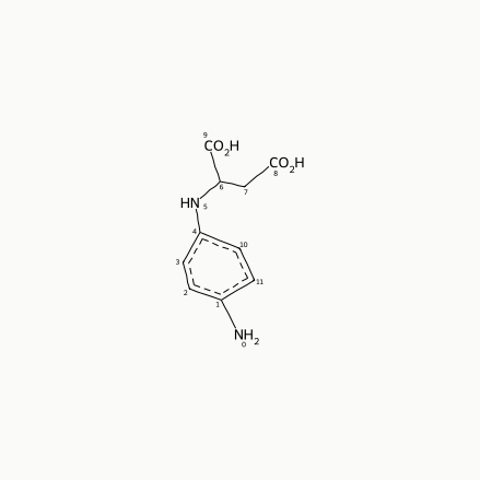 Nc1ccc(NC(CC(=O)O)C(=O)O)cc1